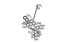 COC(=O)CCCCCCCCOC1OC(CO)C(OC2CC(CO)C(O)C(O[C@]3(C(=O)O)CC(O)C(C)C([C@H](O)[C@H](O)CO)O3)C2O)C(OC2OC(C)C(O)C(O)C2O)C1NC(=O)c1ccc2cccc(C)c2n1